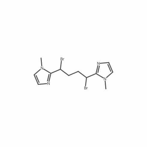 Cn1ccnc1C(Br)CCC(Br)c1nccn1C